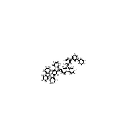 c1ccc(-c2cccc(-c3cccc(-n4c5ccccc5c5ccc(-n6c7ccccc7c7cc([Si](c8ccccc8)(c8ccccc8)c8ccccc8)ccc76)cc54)c3)c2)cc1